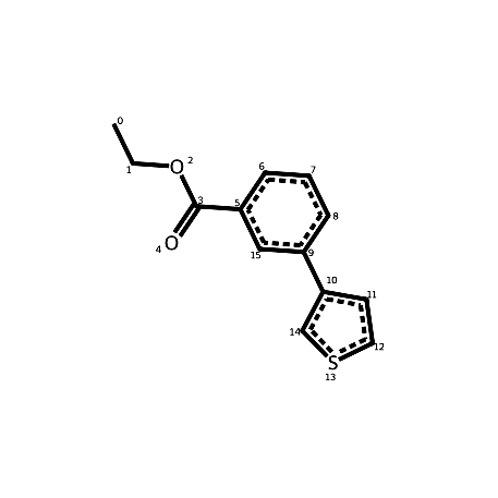 CCOC(=O)c1cccc(-c2ccsc2)c1